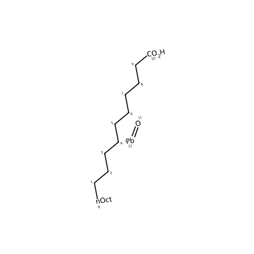 CCCCCCCCCCCCCCCCCC(=O)O.[O]=[Pb]